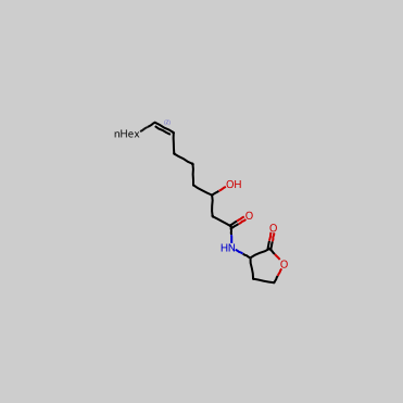 CCCCCC/C=C\CCCC(O)CC(=O)NC1CCOC1=O